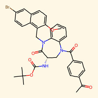 COc1ccc2cc(Br)ccc2c1CN1C(=O)[C@@H](NC(=O)OC(C)(C)C)CN(C(=O)c2ccc(C(C)=O)cc2)c2ccccc21